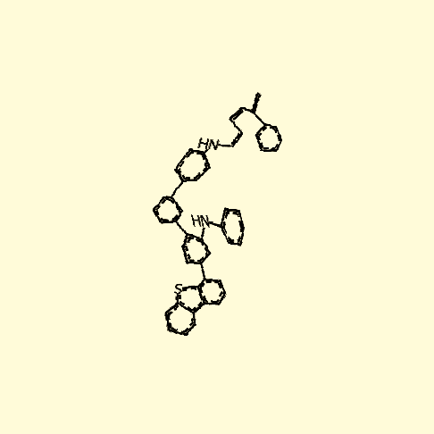 C=C(/C=C\C=C/Nc1ccc(-c2cccc(-c3ccc(-c4cccc5c4sc4ccccc45)cc3Nc3ccccc3)c2)cc1)c1ccccc1